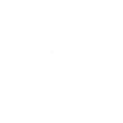 Cc1cc(-c2cccc3ccccc23)cc2c1C1=CC3=C(CC1N2c1ccccc1)c1ccccc1C3(C)C